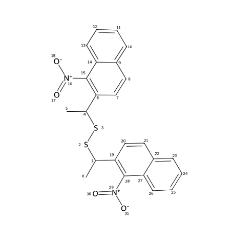 CC(SSC(C)c1ccc2ccccc2c1[N+](=O)[O-])c1ccc2ccccc2c1[N+](=O)[O-]